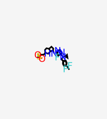 CC(F)(F)c1ccc(CN(c2ncnc(NC3CCC4CCC(CCS(C)(=O)=O)CC43)c2F)C2CC2)cc1